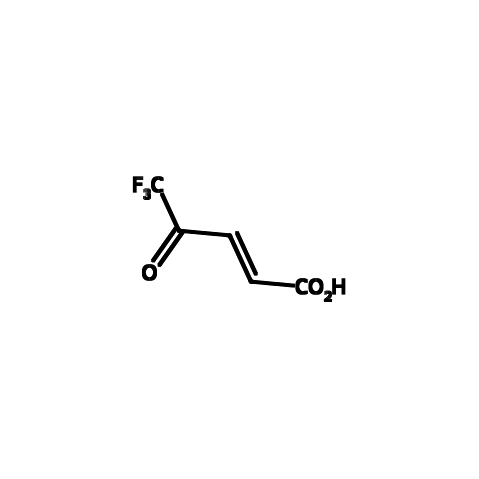 O=C(O)C=CC(=O)C(F)(F)F